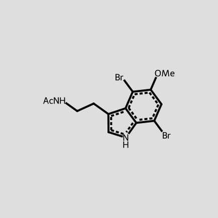 COc1cc(Br)c2[nH]cc(CCNC(C)=O)c2c1Br